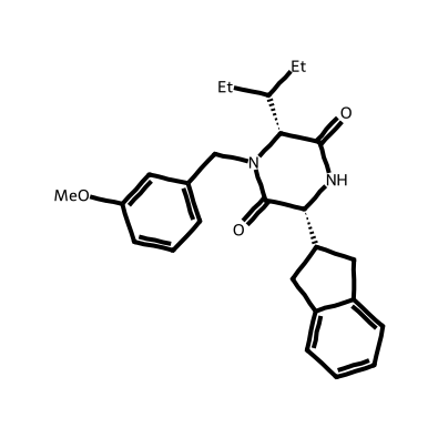 CCC(CC)[C@@H]1C(=O)N[C@H](C2Cc3ccccc3C2)C(=O)N1Cc1cccc(OC)c1